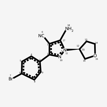 N#Cc1c(-c2ccc(Br)cc2)nn([C@H]2CCOC2)c1N